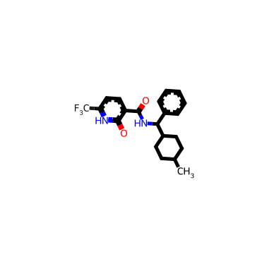 CC1CCC(C(NC(=O)c2ccc(C(F)(F)F)[nH]c2=O)c2ccccc2)CC1